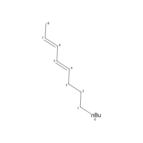 [CH2]CCCCCCC=CC=CC